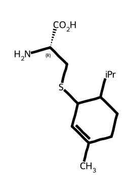 CC1=CC(SC[C@H](N)C(=O)O)C(C(C)C)CC1